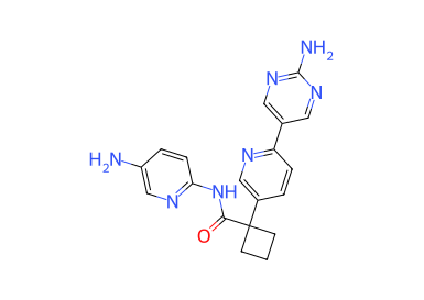 Nc1ccc(NC(=O)C2(c3ccc(-c4cnc(N)nc4)nc3)CCC2)nc1